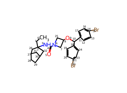 CCC1(NC(=O)N2CC(OC(c3ccc(Br)cc3)c3ccc(Br)cc3)C2)CC2CCC(C2)C1